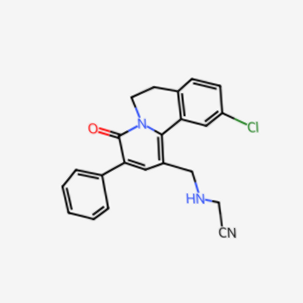 N#CCNCc1cc(-c2ccccc2)c(=O)n2c1-c1cc(Cl)ccc1CC2